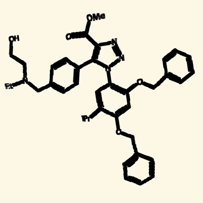 CCN(CCO)Cc1ccc(-c2c(C(=O)OC)nnn2-c2cc(C(C)C)c(OCc3ccccc3)cc2OCc2ccccc2)cc1